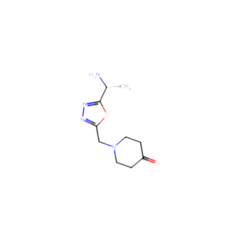 C[C@@H](N)c1nnc(CN2CCC(=O)CC2)o1